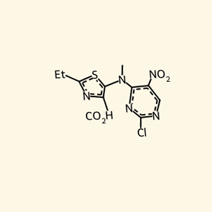 CCc1nc(C(=O)O)c(N(C)c2nc(Cl)ncc2[N+](=O)[O-])s1